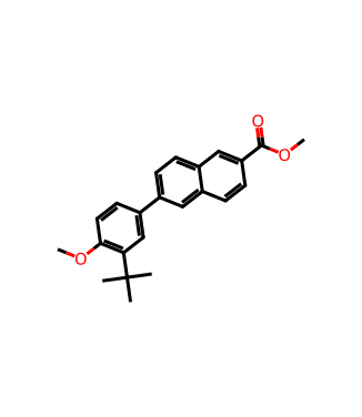 COC(=O)c1ccc2cc(-c3ccc(OC)c(C(C)(C)C)c3)ccc2c1